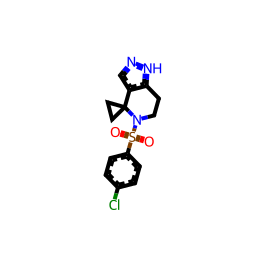 O=S(=O)(c1ccc(Cl)cc1)N1CCc2[nH]ncc2C12CC2